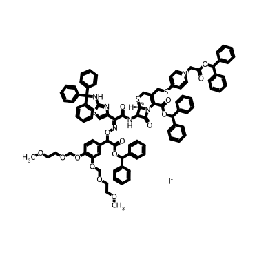 COCCOCOc1ccc(C(ON=C(C(=O)NC2C(=O)N3C(C(=O)OC(c4ccccc4)c4ccccc4)=C(CSc4cc[n+](CC(=O)OC(c5ccccc5)c5ccccc5)cc4)CS[C@@H]23)c2csc(NC(c3ccccc3)(c3ccccc3)c3ccccc3)n2)C(=O)OC(c2ccccc2)c2ccccc2)cc1OCOCCOC.[I-]